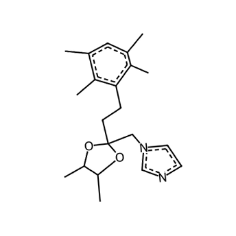 Cc1cc(C)c(C)c(CCC2(Cn3ccnc3)OC(C)C(C)O2)c1C